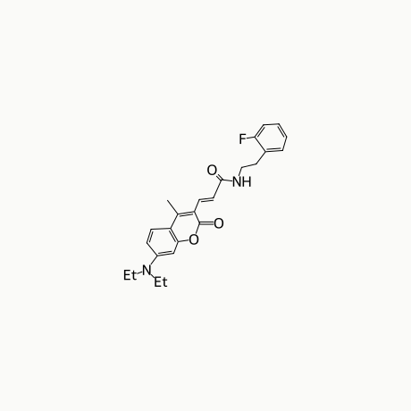 CCN(CC)c1ccc2c(C)c(/C=C/C(=O)NCCc3ccccc3F)c(=O)oc2c1